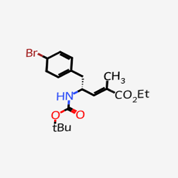 CCOC(=O)/C(C)=C/[C@@H](CC1=CCC(Br)C=C1)NC(=O)OC(C)(C)C